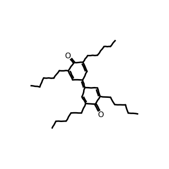 CCCCCC1=CC(=C2C=C(CCCCC)C(=O)C(CCCCC)=C2)C=C(CCCCC)C1=O